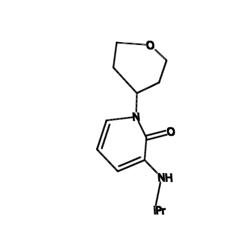 CC(C)Nc1cccn(C2CCOCC2)c1=O